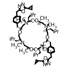 CC(C)C[C@H]1CO[C@H](C)CN(C)[C@@H](CC(C)C)CO[C@H](Cc2ccc(Cc3nnc(C4CC4)o3)cc2)CN(C)[C@@H](CC(C)C)CO[C@H](C)CN(C)[C@@H](CC(C)C)CO[C@H](Cc2ccc(Cc3nnc(C4CC4)o3)cc2)CN1C